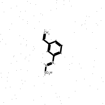 C=Cc1cccc(N=NS(=O)(=O)O)c1